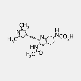 Cc1cc(C#Cc2nc3c(cc2NC(=O)C(F)(F)F)CCC(NC(=O)O)C3)cc(C)n1